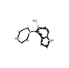 Cl.c1cc2[nH]ccc2c(N2CCNCC2)n1